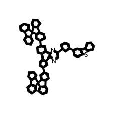 c1cc(-c2ccc3sc4ccccc4c3c2)cc(-c2cnc3c4cc(-c5ccc6c(c5)C5(c7ccccc7-c7ccccc75)c5ccccc5-6)ccc4c4ccc(-c5ccc6c(c5)C5(c7ccccc7-c7ccccc75)c5ccccc5-6)cc4c3n2)c1